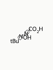 CC(C)(C)C1CCN(CC(O)N2CCC(C(=O)O)CC2)CC1